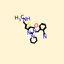 CNCc1cc2nc(N3CCCCC3)n(Cc3ccccc3C#N)c(=O)c2s1